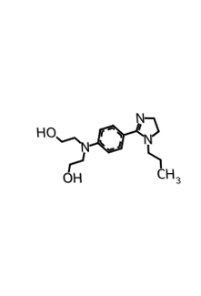 CCCN1CCN=C1c1ccc(N(CCO)CCO)cc1